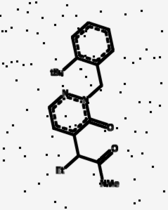 CCC(C(=O)NC)c1ccnn(Cc2ccccc2C(C)(C)C)c1=O